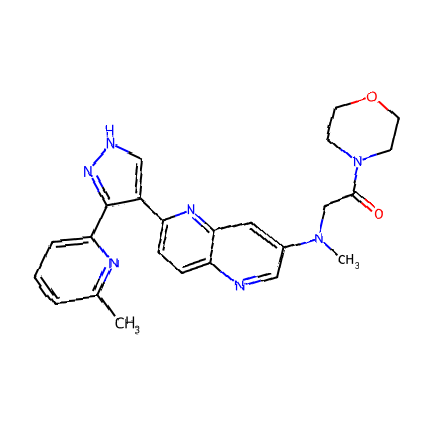 Cc1cccc(-c2n[nH]cc2-c2ccc3ncc(N(C)CC(=O)N4CCOCC4)cc3n2)n1